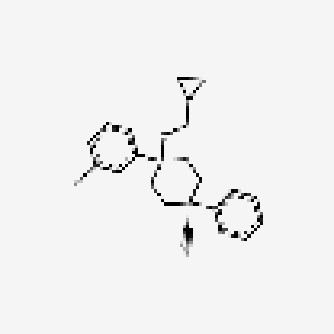 N#CC1(c2ccccc2)CCC(OCC2CC2)(c2cccc(Br)c2)CC1